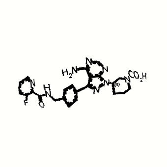 Nc1ncnc2c1c(-c1ccc(CNC(=O)c3ncccc3F)cc1)nn2[C@@H]1CCCN(C(=O)O)C1